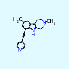 Cc1cc(C#Cc2ccncc2)c2[nH]c3c(c2c1)CCN(C)CC3